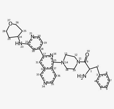 NC(Cc1ccccc1)C(=O)N1CCN(c2nc(-c3ccnc(NC4CCOCC4)c3)cc3cnccc23)CC1